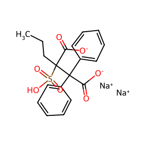 CCCC(C(=O)[O-])(C(C(=O)[O-])(c1ccccc1)c1ccccc1)S(=O)(=O)O.[Na+].[Na+]